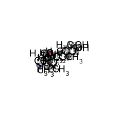 C/C=C(/C)C(=O)O[C@H]1[C@H](OC(C)=O)[C@@]2(CO)C(CC1(C)C)C1=CCC3[C@@]4(C)CC[C@H](O)[C@@](C)(CO)C4CC[C@@]3(C)[C@]1(C)C[C@H]2O